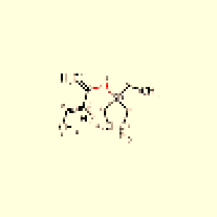 C=C(O[Si](CC)(CC)CC)C(C)=CC